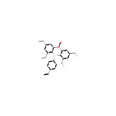 C=Cc1ccc(P(c2c(CC)cc(CC)cc2CC)c2c(CC)cc(CC)cc2CC)cc1